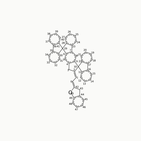 C(/C=C1\Cc2cc3c(cc2C12c1ccccc1-c1ccccc12)-c1ccccc1C31c2ccccc2-c2ccccc21)=C1/Cc2ccccc2O1